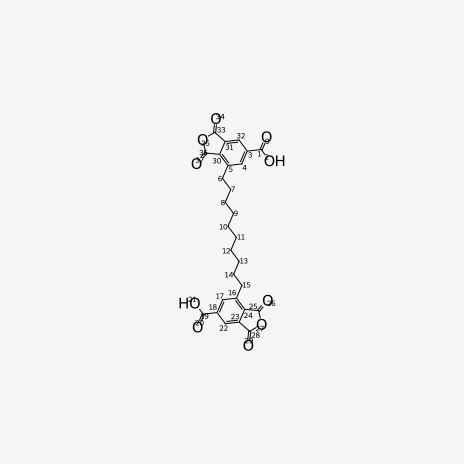 O=C(O)c1cc(CCCCCCCCCCc2cc(C(=O)O)cc3c2C(=O)OC3=O)c2c(c1)C(=O)OC2=O